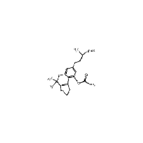 CCCCCC(C)CCc1cc(OC(N)=O)c2c(c1)OC(C)(C)C1=C2CCS1